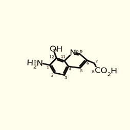 Nc1ccc2cc(CC(=O)O)cnc2c1O